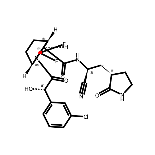 N#C[C@H](C[C@@H]1CCNC1=O)NC(=O)[C@@H]1[C@H]2CC[C@H](CC2(F)F)N1C(=O)[C@@H](O)c1cccc(Cl)c1